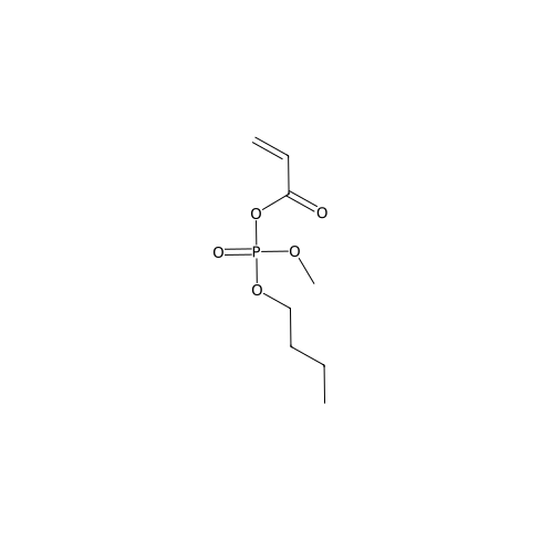 C=CC(=O)OP(=O)(OC)OCCCC